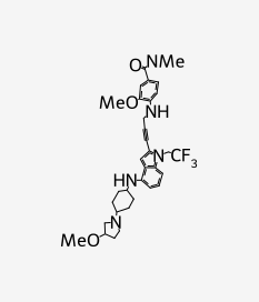 CNC(=O)c1ccc(NCC#Cc2cc3c(NC4CCC(N5CCC(OC)C5)CC4)cccc3n2CC(F)(F)F)c(OC)c1